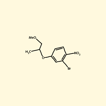 COCC(C)Oc1ccc([N+](=O)[O-])c(Br)c1